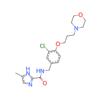 Cc1cnc(C(=O)NCc2ccc(OCCCN3CCOCC3)c(Cl)c2)[nH]1